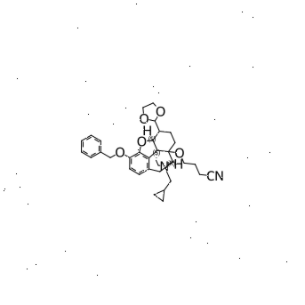 N#CCCCOC12CCC(C3OCCO3)[C@@H]3Oc4c(OCc5ccccc5)ccc5c4[C@@]31CCN(CC1CC1)[C@@H]2C5